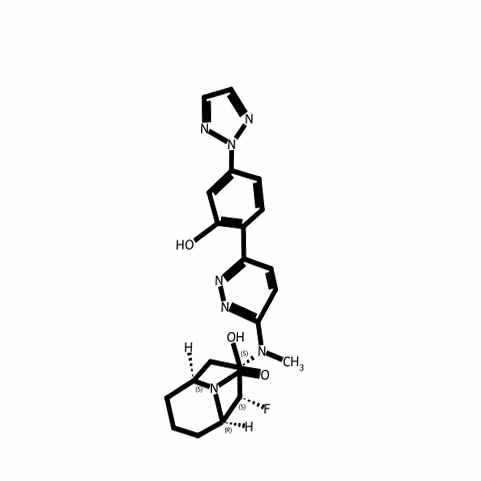 CN(c1ccc(-c2ccc(-n3nccn3)cc2O)nn1)[C@H]1C[C@@H]2CCC[C@H]([C@H]1F)N2C(=O)O